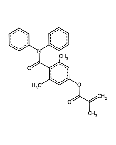 C=C(C)C(=O)Oc1cc(C)c(C(=O)N(c2ccccc2)c2ccccc2)c(C)c1